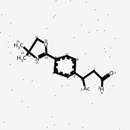 [2H]C(=O)CC(C(C)=O)c1ccc(C2=NC(C)(C)CO2)cc1